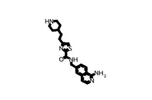 Nc1nccc2cc(CNC(=O)c3nc(CCC4CCNCC4)cs3)ccc12